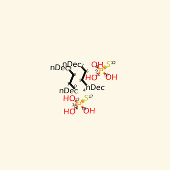 CCCCCCCCCCCCCCCCCCCCCC.CCCCCCCCCCCCCCCCCCCCCC.OP(O)(O)=S.OP(O)(O)=S